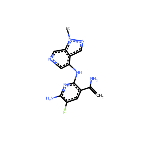 C=C(N)c1cc(F)c(N)nc1Nc1cncc2c1cnn2CC